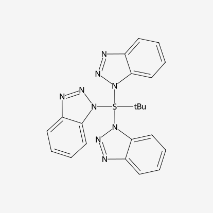 CC(C)(C)S(n1nnc2ccccc21)(n1nnc2ccccc21)n1nnc2ccccc21